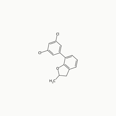 CC1Cc2cccc(-c3cc(Cl)cc(Cl)c3)c2O1